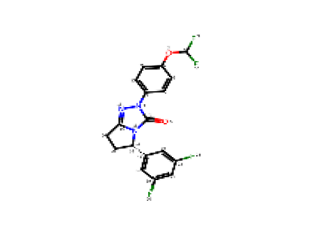 O=c1n(-c2ccc(OC(F)F)cc2)nc2n1[C@H](c1cc(F)cc(F)c1)CC2